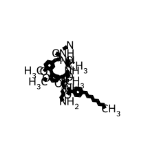 CCCCCCCCc1ccc(C(=O)N[C@@H](CCCN)C(=O)N(C)[C@@H]2C(=O)N[C@@H](C)C(=O)N[C@H](C(=O)NCC#N)Cc3ccc(OC)c(c3)-c3cc2ccc3OC)cc1